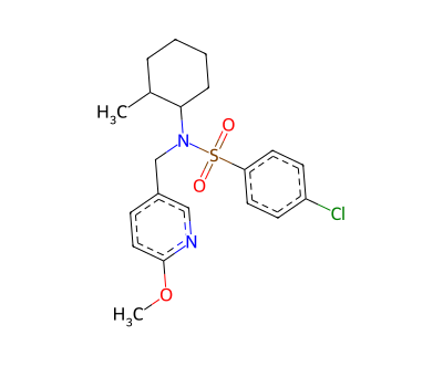 COc1ccc(CN(C2CCCCC2C)S(=O)(=O)c2ccc(Cl)cc2)cn1